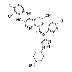 CC(C)(C)N1CCC(n2cc([C@@H](Nc3cc(C#N)cc4c(Nc5ccc(F)c(Cl)c5)c(C#N)cnc34)c3ccc(Cl)cc3)nn2)CC1